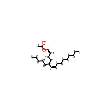 CCCCCCCC/C=C\C(CC/C=C\OC(C)=O)CCCCC